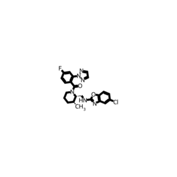 C[C@@H]1CCCN(C(=O)c2ccc(F)cc2-n2nccn2)[C@@H]1CNc1nc2cc(Cl)ccc2o1